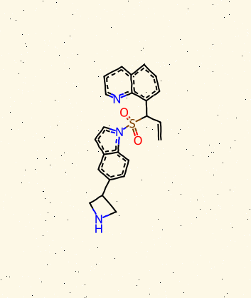 C=CC(c1cccc2cccnc12)S(=O)(=O)n1ccc2cc(C3CNC3)ccc21